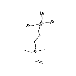 C=C[Si](C)(C)CC[Si](Br)(Br)Br